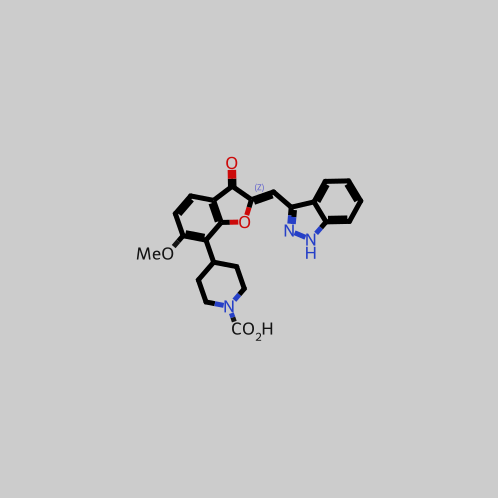 COc1ccc2c(c1C1CCN(C(=O)O)CC1)O/C(=C\c1n[nH]c3ccccc13)C2=O